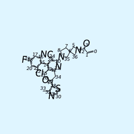 C=CC(=O)N1CC2(CCN(c3nc4c(c(-c5ccc(F)cc5Cl)c3C#N)CO[C@H](c3scnc3C)C4)C2)C1